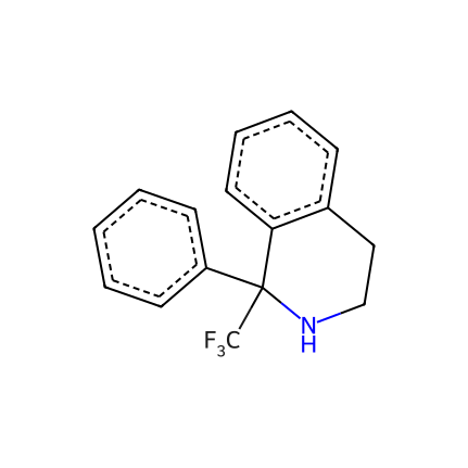 FC(F)(F)C1(c2ccccc2)NCCc2ccccc21